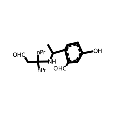 CCCC(CC=O)(CCC)NC(C)c1ccc(O)cc1C=O